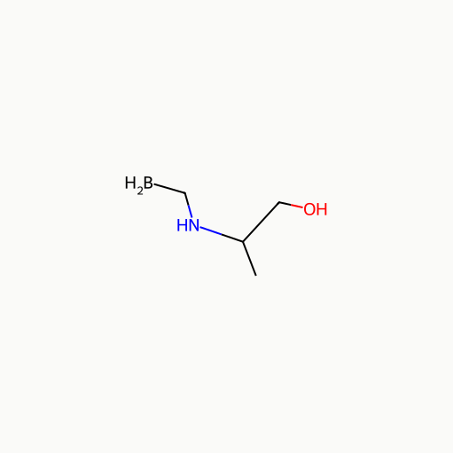 BCNC(C)CO